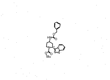 CC(C)(C)OC(=O)N1CCC(NC(=O)OCc2ccccc2)C[C@H]1c1nnc2ccccn12